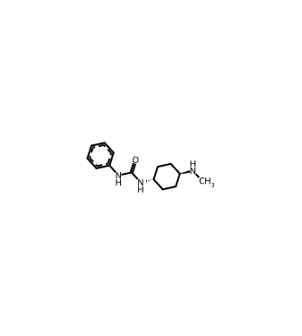 CN[C@H]1CC[C@H](NC(=O)Nc2ccccc2)CC1